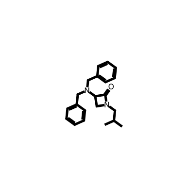 CC(C)CN1CC(N(Cc2ccccc2)Cc2ccccc2)C1=O